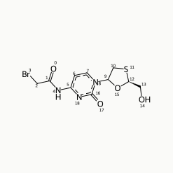 O=C(CBr)Nc1ccn(C2CS[C@@H](CO)O2)c(=O)n1